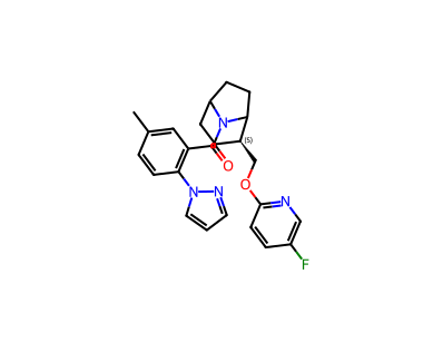 Cc1ccc(-n2cccn2)c(C(=O)N2C3CCC2[C@@H](COc2ccc(F)cn2)CC3)c1